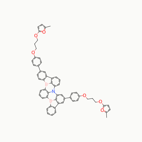 Cc1ccc(OCCCOc2ccc(-c3ccc4c(c3)-c3cccc5c3B4c3cccc4c3N5c3cc(-c5ccc(OCCCOc6ccc(C)o6)cc5)cc5c3B4c3ccccc3-5)cc2)o1